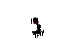 COc1cc(N2CCC(N3CCN(C(=O)CCOCCOCCC(=O)N[C@H](C(=O)N4C[C@H](O)C[C@H]4C(=O)NCc4ccc(-c5scnc5C)cc4)C(C)(C)C)CC3)CC2)ccc1Nc1ncnc(Nc2ccccc2S(=O)(=O)C(C)C)n1